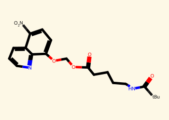 CC(C)(C)C(=O)NCCCCC(=O)OCOc1ccc([N+](=O)[O-])c2cccnc12